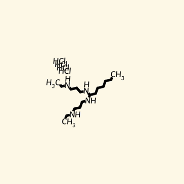 CCCCCCC(NCCCNCC)NCCCNCC.Cl.Cl.Cl.Cl